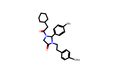 COc1ccc(CCN2C(=O)CN(C(=O)CC3CCCCC3)C2c2ccc(C(C)(C)C)cc2)cc1